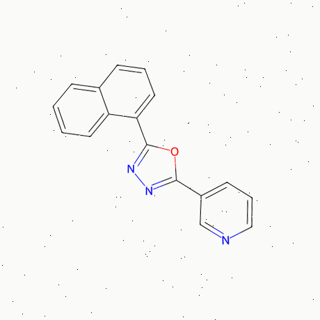 c1cncc(-c2nnc(-c3cccc4ccccc34)o2)c1